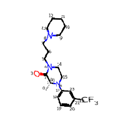 C[C@@H]1C(=O)N(CCCN2CCCCC2)CCN1c1cccc(C(F)(F)F)c1